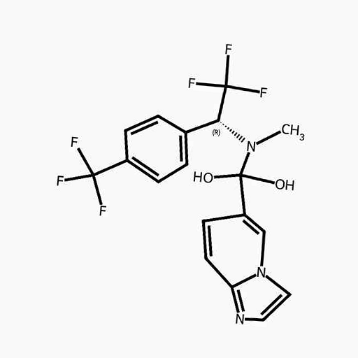 CN([C@H](c1ccc(C(F)(F)F)cc1)C(F)(F)F)C(O)(O)c1ccc2nccn2c1